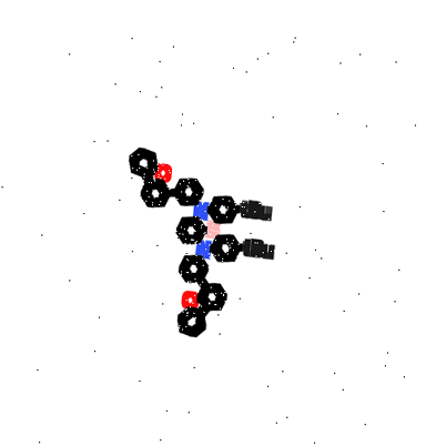 CC(C)(C)c1ccc2c(c1)B1c3cc(C(C)(C)C)ccc3N(c3cccc(-c4cccc5c4oc4ccccc45)c3)c3cccc(c31)N2c1cccc(-c2cccc3c2oc2ccccc23)c1